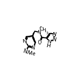 CNc1ncc(CN(C)C(=O)c2cnn[nH]2)cn1